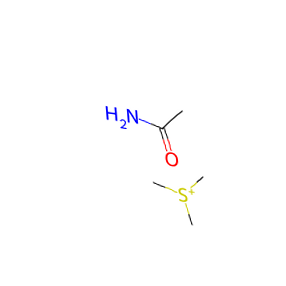 CC(N)=O.C[S+](C)C